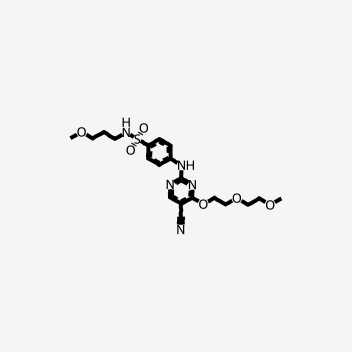 COCCCNS(=O)(=O)c1ccc(Nc2ncc(C#N)c(OCCOCCOC)n2)cc1